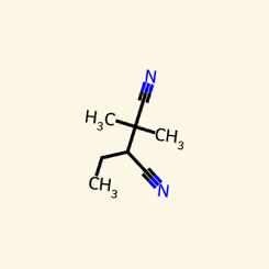 CCC(C#N)C(C)(C)C#N